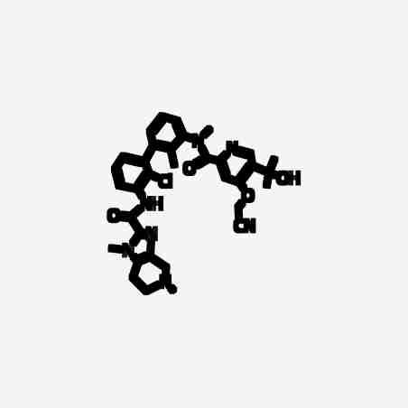 Cc1c(-c2cccc(NC(=O)c3nc4c(n3C)CCN(C)C4)c2Cl)cccc1N(C)C(=O)c1cc(OCC#N)c(C(C)(C)O)cn1